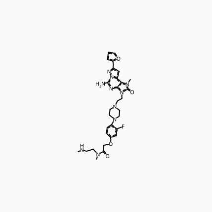 CNCCN(C)C(=O)COc1ccc(N2CCN(CCn3c(=O)n(C)c4c3nc(N)n3nc(-c5ccco5)cc43)CC2)c(F)c1